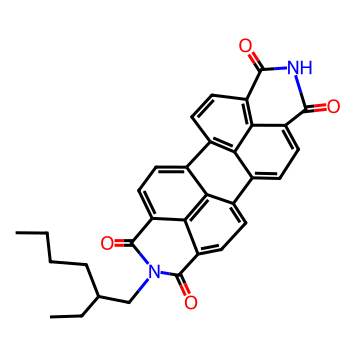 CCCCC(CC)CN1C(=O)c2ccc3c4ccc5c6c(ccc(c7ccc(c2c37)C1=O)c64)C(=O)NC5=O